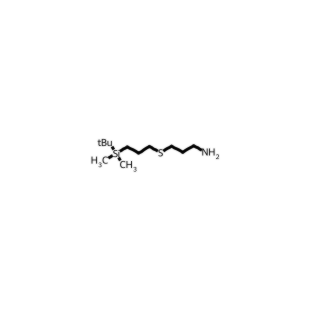 CC(C)(C)[Si](C)(C)CCCSCCCN